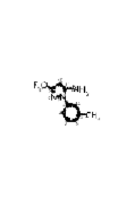 Cc1cccc(-n2nc(C(F)(F)F)cc2N)c1